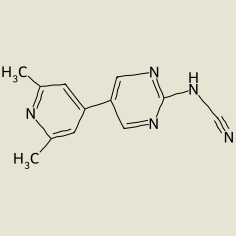 Cc1cc(-c2cnc(NC#N)nc2)cc(C)n1